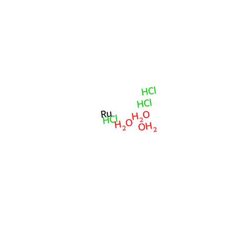 Cl.Cl.Cl.O.O.O.[Ru]